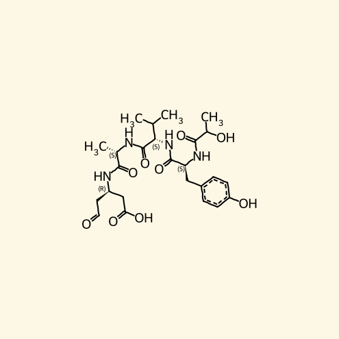 CC(O)C(=O)N[C@@H](Cc1ccc(O)cc1)C(=O)N[C@H](C(=O)N[C@@H](C)C(=O)N[C@H](CC=O)CC(=O)O)C(C)C